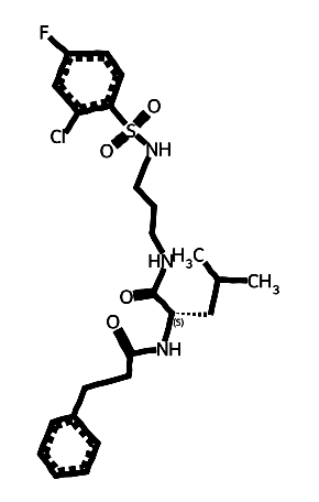 CC(C)C[C@H](NC(=O)CCc1ccccc1)C(=O)NCCCNS(=O)(=O)c1ccc(F)cc1Cl